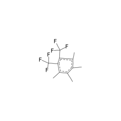 Cc1c(C)c(C)c(C(F)(F)F)c(C(F)(F)F)c1C